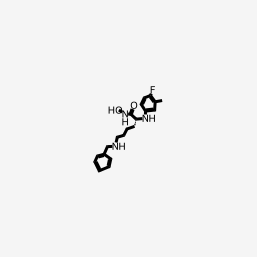 Cc1cc(N[C@H](CCCCNCc2ccccc2)C(=O)NO)ccc1F